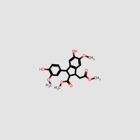 COC(=O)CC1c2cc(OC)c(O)cc2C(c2ccc(O)c(OC)c2)C1C(=O)OC